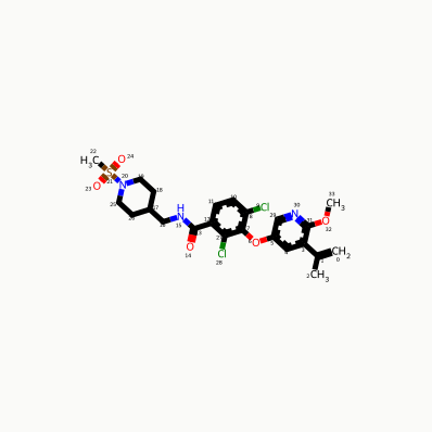 C=C(C)c1cc(Oc2c(Cl)ccc(C(=O)NCC3CCN(S(C)(=O)=O)CC3)c2Cl)cnc1OC